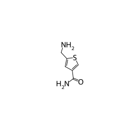 NCc1cc(C(N)=O)cs1